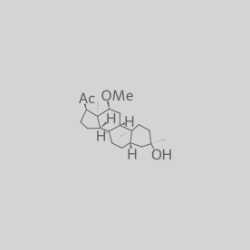 CO[C@H]1C[C@H]2[C@@H](CC[C@H]3C[C@](C)(O)CC[C@@]32C)[C@@H]2CC[C@@H](C(C)=O)[C@@]12C